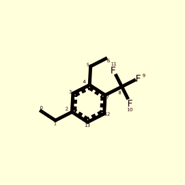 CCc1[c]c(CC)c(C(F)(F)F)cc1